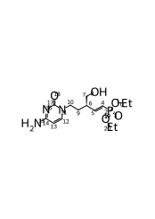 CCOP(=O)(/C=C/[C@H](CO)CCn1ccc(N)nc1=O)OCC